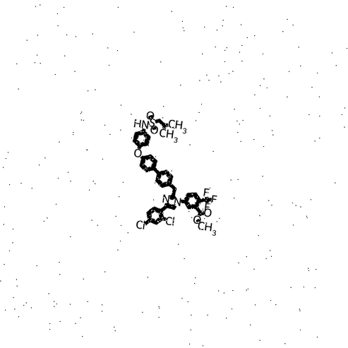 COC(=O)c1cc(-n2cc(-c3ccc(Cl)cc3Cl)nc2Cc2ccc(-c3ccc(Oc4ccc(NS(=O)(=O)CC(C)C)cc4)cc3)cc2)ccc1C(F)(F)F